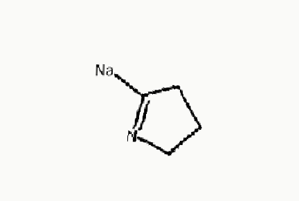 [Na][C]1=NCCC1